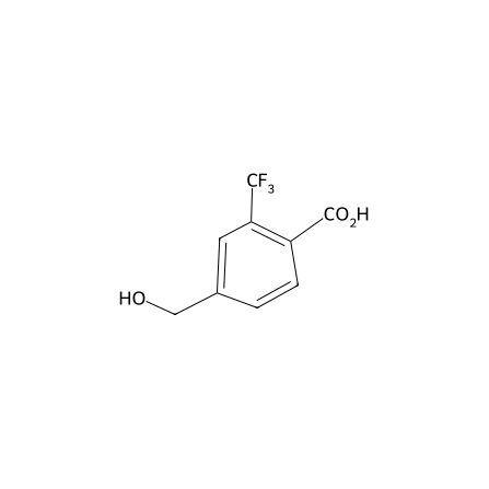 O=C(O)c1ccc(CO)cc1C(F)(F)F